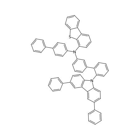 c1ccc(-c2ccc(N(c3cccc(-c4ccccc4-n4c5ccc(-c6ccccc6)cc5c5cc(-c6ccccc6)ccc54)c3)c3cccc4c3sc3ccccc34)cc2)cc1